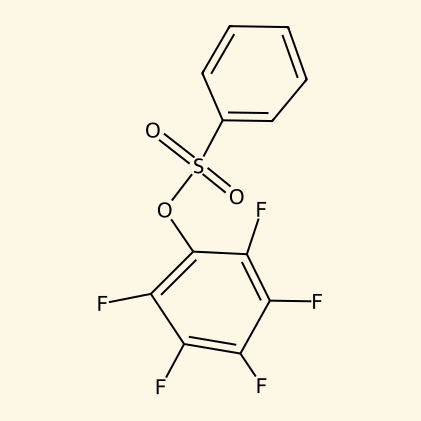 O=S(=O)(Oc1c(F)c(F)c(F)c(F)c1F)c1ccccc1